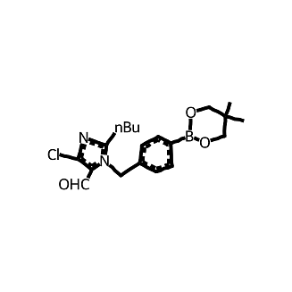 CCCCc1nc(Cl)c(C=O)n1Cc1ccc(B2OCC(C)(C)CO2)cc1